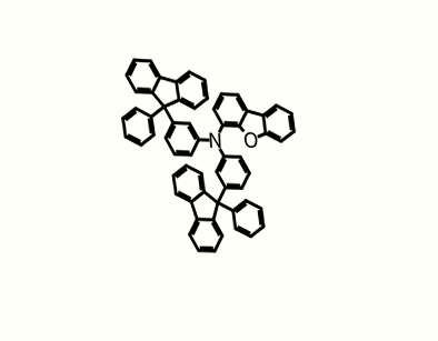 c1ccc(C2(c3cccc(N(c4cccc(C5(c6ccccc6)c6ccccc6-c6ccccc65)c4)c4cccc5c4oc4ccccc45)c3)c3ccccc3-c3ccccc32)cc1